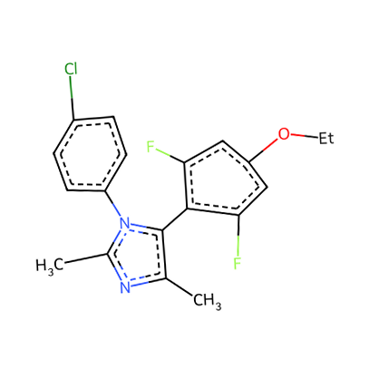 CCOc1cc(F)c(-c2c(C)nc(C)n2-c2ccc(Cl)cc2)c(F)c1